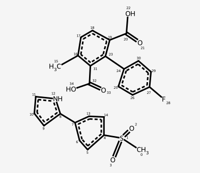 CS(=O)(=O)c1ccc(-c2ccc[nH]2)cc1.Cc1ccc(C(=O)O)c(-c2ccc(F)cc2)c1C(=O)O